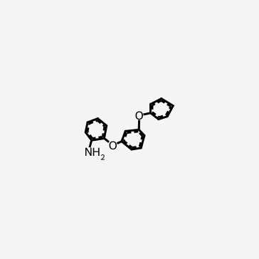 Nc1ccccc1Oc1cccc(Oc2ccccc2)c1